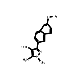 CCCOc1ccc2cc(-c3nn(C(C)(C)C)c(N)c3C=O)ccc2c1